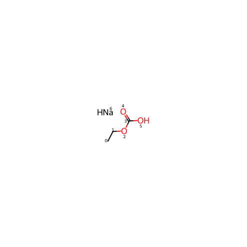 CCOC(=O)O.[NaH]